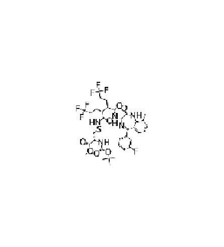 COC(=O)[C@H](CSNC(=O)[C@@H](CCC(F)(F)F)[C@@H](CCC(F)(F)F)C(=O)N[C@H]1N=C(c2cccc(F)c2)c2cccc(C)c2NC1=O)NC(=O)OC(C)(C)C